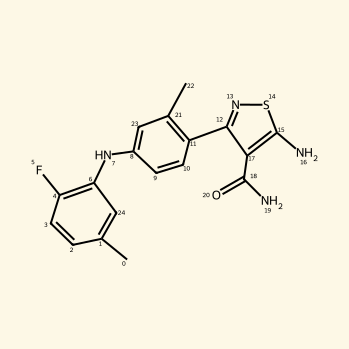 Cc1ccc(F)c(Nc2ccc(-c3nsc(N)c3C(N)=O)c(C)c2)c1